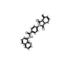 C=C1C=CCC2C(=O)N(c3ccc(C(=O)Nc4cccc5cccnc45)cc3)C(=O)C12